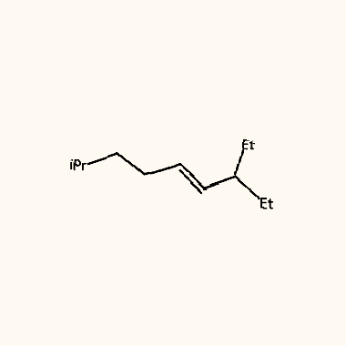 [CH2]C(C)CCC=CC(CC)CC